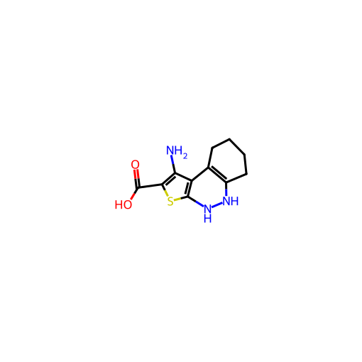 Nc1c(C(=O)O)sc2c1C1=C(CCCC1)NN2